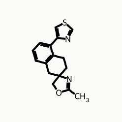 CC1=NC2(CCc3c(cccc3-c3cscn3)C2)CO1